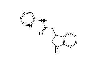 O=C(CC1CNc2ccccc21)Nc1ccccn1